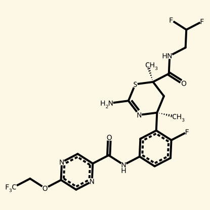 C[C@]1(C(=O)NCC(F)F)C[C@@](C)(c2cc(NC(=O)c3cnc(OCC(F)(F)F)cn3)ccc2F)N=C(N)S1